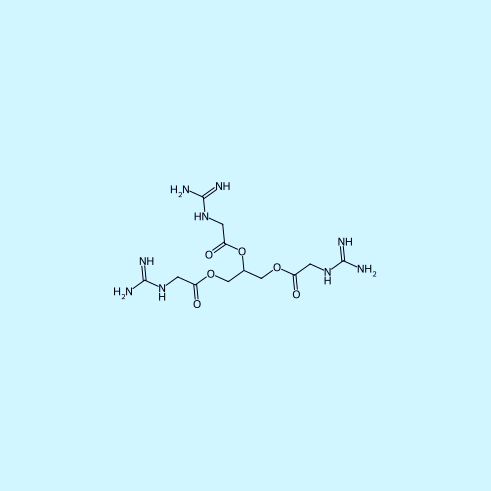 N=C(N)NCC(=O)OCC(COC(=O)CNC(=N)N)OC(=O)CNC(=N)N